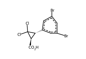 O=C(O)[C@@H]1[C@@H](c2cc(Br)cc(Br)c2)C1(Cl)Cl